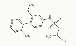 COc1cc(NS(=O)(=O)CC(C)C)ccc1-c1cncnc1C